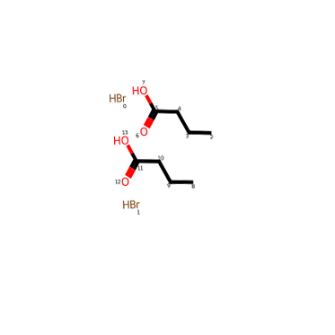 Br.Br.CCCC(=O)O.CCCC(=O)O